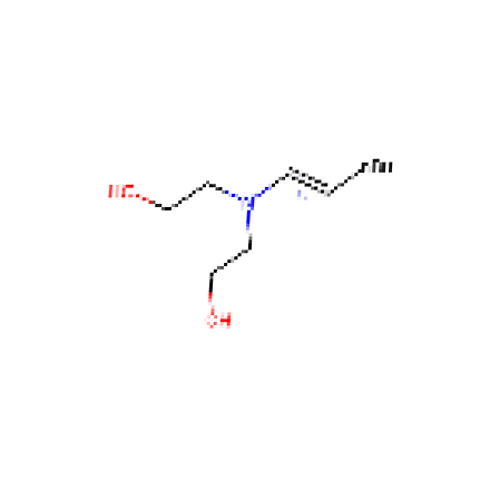 CCCC/C=C/N(CCO)CCO